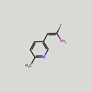 Cc1ccc(/C=C(/F)P)cn1